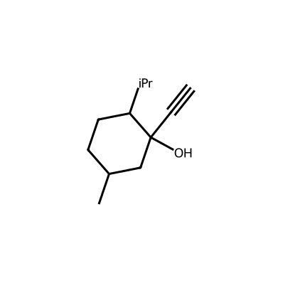 C#CC1(O)CC(C)CCC1C(C)C